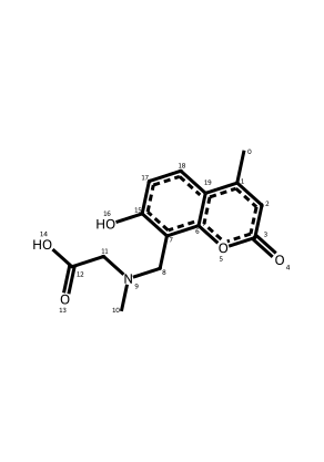 Cc1cc(=O)oc2c(CN(C)CC(=O)O)c(O)ccc12